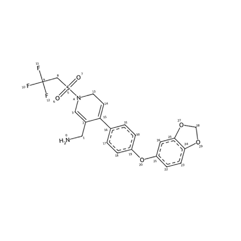 NCC1=CN(S(=O)(=O)CC(F)(F)F)CC=C1c1ccc(Oc2ccc3c(c2)OCO3)cc1